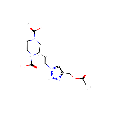 CC(=O)OCc1cn(CC[C@@H]2CN(C(=O)O)CCN2C(=O)O)nn1